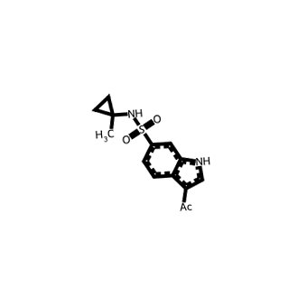 CC(=O)c1c[nH]c2cc(S(=O)(=O)NC3(C)CC3)ccc12